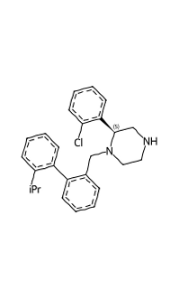 CC(C)c1ccccc1-c1ccccc1CN1CCNC[C@@H]1c1ccccc1Cl